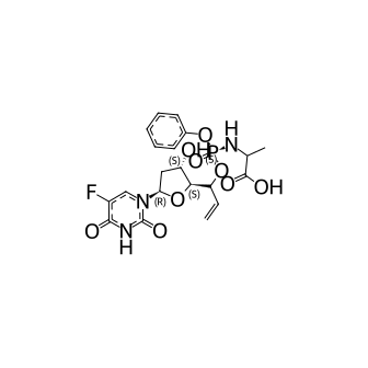 C=CC(O[P@@](=O)(NC(C)C(=O)O)Oc1ccccc1)[C@H]1O[C@@H](n2cc(F)c(=O)[nH]c2=O)C[C@@H]1O